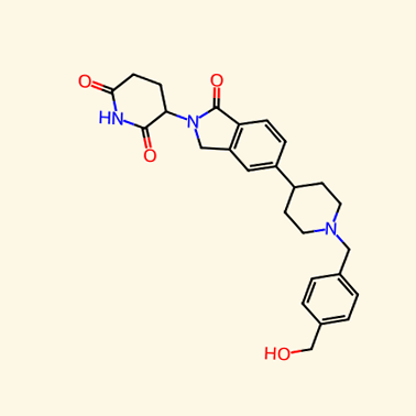 O=C1CCC(N2Cc3cc(C4CCN(Cc5ccc(CO)cc5)CC4)ccc3C2=O)C(=O)N1